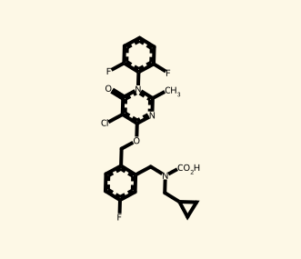 Cc1nc(OCc2ccc(F)cc2CN(CC2CC2)C(=O)O)c(Cl)c(=O)n1-c1c(F)cccc1F